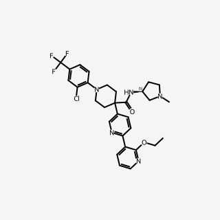 CCOc1ncccc1-c1ccc(C2(C(=O)N[C@H]3CCN(C)C3)CCN(c3ccc(C(F)(F)F)cc3Cl)CC2)cn1